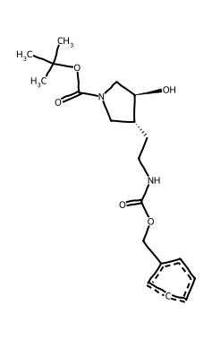 CC(C)(C)OC(=O)N1C[C@@H](CCNC(=O)OCc2ccccc2)[C@H](O)C1